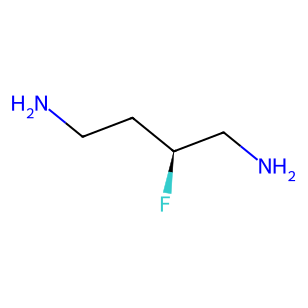 NCC[C@H](F)CN